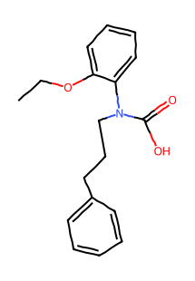 CCOc1ccccc1N(CCCc1ccccc1)C(=O)O